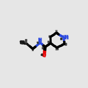 CC(C)(C)CNC(=O)C1CCNCC1